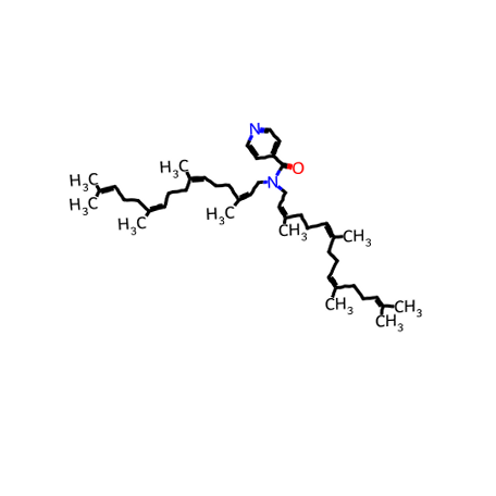 CC(C)=CCCC(C)=CCCC(C)=CCCC(C)=CCN(CC=C(C)CCC=C(C)CCC=C(C)CCC=C(C)C)C(=O)c1ccncc1